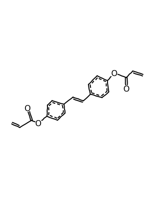 C=CC(=O)Oc1ccc(C=Cc2ccc(OC(=O)C=C)cc2)cc1